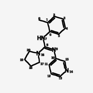 Cc1ccccc1NC(=Nc1cccnc1)N1CCCC1